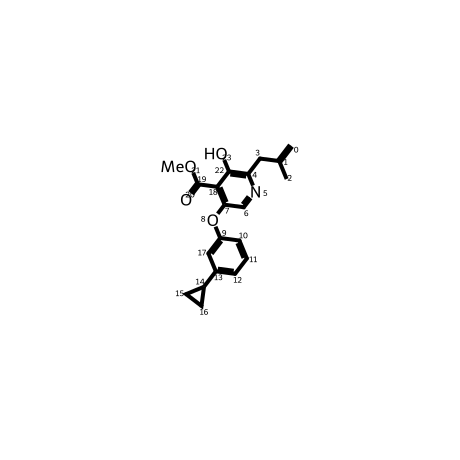 C=C(C)Cc1ncc(Oc2cccc(C3CC3)c2)c(C(=O)OC)c1O